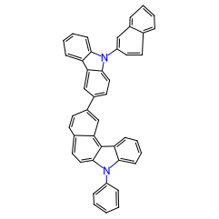 c1ccc(-n2c3ccccc3c3c4cc(-c5ccc6c(c5)c5ccccc5n6-c5ccc6ccccc6c5)ccc4ccc32)cc1